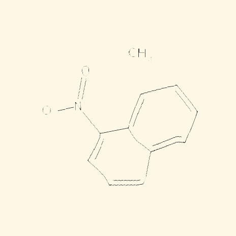 C.O=[N+]([O-])c1cccc2ccccc12